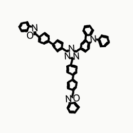 c1ccc(-n2c3ccccc3c3cc(-c4nc(-c5ccc(-c6ccc(-c7nc8ccccc8o7)cc6)cc5)nc(-c5ccc(-c6ccc(-c7nc8ccccc8o7)cc6)cc5)n4)ccc32)cc1